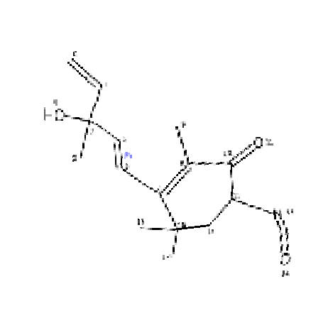 C=CC(C)(O)/C=C/C1=C(C)C(=O)C(N=O)CC1(C)C